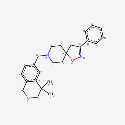 CC1(C)COCc2ccc(CN3CCC4(CC3)CC(c3ccccc3)=NO4)cc21